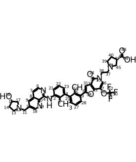 Cc1c(Nc2nccc3cc(CN4CC[C@@H](O)C4)cnc23)cccc1-c1cccc(-c2cc3c(=O)n(CCN4CC[C@@H](C(=O)O)C4)cc(OC(F)(F)F)c3o2)c1C